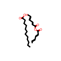 C/C=C/C=C/C(=O)OC(=O)/C=C/C=C/C.CCCCCCCCCCCC(=O)O